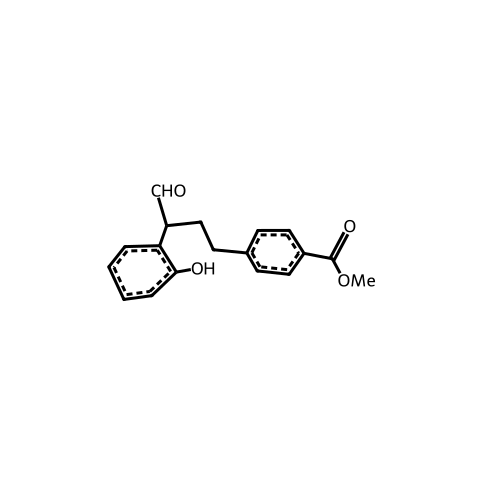 COC(=O)c1ccc(CCC(C=O)c2ccccc2O)cc1